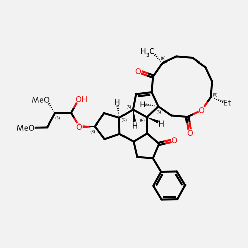 CC[C@H]1CCCC[C@@H](C)C(=O)C2=C[C@@H]3[C@@H](C4C(=O)C(c5ccccc5)CC4C4C[C@@H](OC(O)[C@H](COC)OC)C[C@H]43)[C@@H]2CC(=O)O1